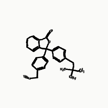 CC(C)(C)Cc1ccc(C2(c3ccc(CC(C)(C)O)cc3)OC(=O)c3ccccc32)cc1